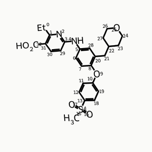 CCc1nc(Nc2ccc(Oc3ccc(S(C)(=O)=O)cc3)c(CC3CCOCC3)c2)ccc1C(=O)O